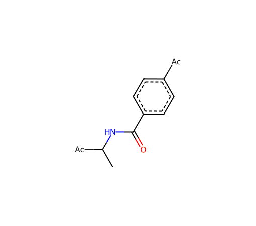 CC(=O)c1ccc(C(=O)NC(C)C(C)=O)cc1